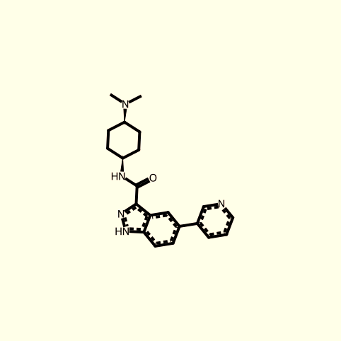 CN(C)[C@H]1CC[C@@H](NC(=O)c2n[nH]c3ccc(-c4cccnc4)cc23)CC1